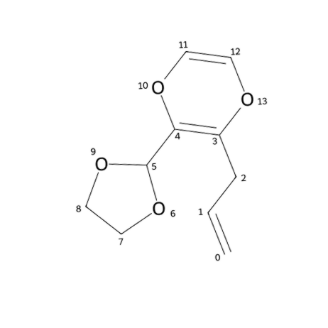 C=CCC1=C(C2OCCO2)OC=CO1